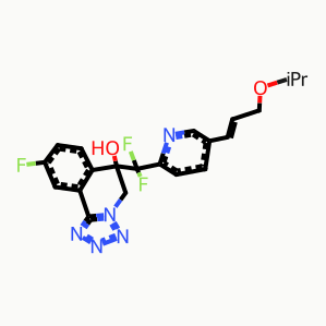 CC(C)OC/C=C/c1ccc(C(F)(F)C2(O)Cn3nnnc3-c3cc(F)ccc32)nc1